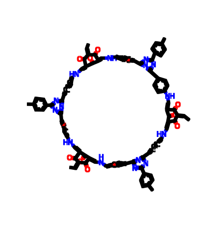 C/C=C1\C(=O)/C2=C/Nc3ccc(cc3)-c3nc(-c4ccc(C)cc4)nc(n3)-c3ccc(cc3)N/C=C3\C(=O)/C(=C/C)C(=O)/C(=C/Nc4ccc(cc4)-c4nc(-c5ccc(C)cc5)nc(n4)-c4ccc(cc4)N/C=C4\C(=O)/C(=C/C)C(=O)/C(=C/Nc5ccc(cc5)-c5nc(-c6ccc(C)cc6)nc(n5)-c5ccc(cc5)N/C=C(\C1=O)C2=O)C4=O)C3=O